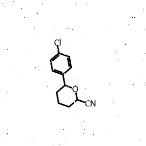 N#CC1CCCC(c2ccc(Cl)cc2)O1